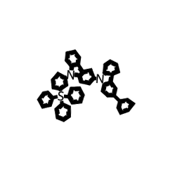 c1ccc(-c2ccc3c(c2)c2ccccc2n3-c2ccc3c(c2)c2ccccc2n3-c2cccc(S(c3ccccc3)(c3ccccc3)c3ccccc3)c2)cc1